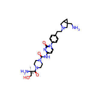 C[C@@](N)(CO)C(=O)N1CCN(C(=O)Nc2ccn(-c3ccc(CCN4CC5CC5(CN)C4)cc3)c(=O)n2)CC1